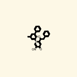 Cc1cc(-c2ccccc2)cc(-n2cc(N=O)c(=O)cc2C(O)Cc2ccccc2)c1